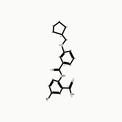 O=C(Nc1ccc(Br)cc1C(=O)O)c1cccc(OCC2CCCC2)c1